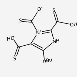 CCCCc1[nH]c(C(O)=S)[n+](C([O-])=S)c1C(O)=S